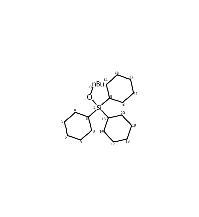 CCCCO[Si](C1CCCCC1)(C1CCCCC1)C1CCCCC1